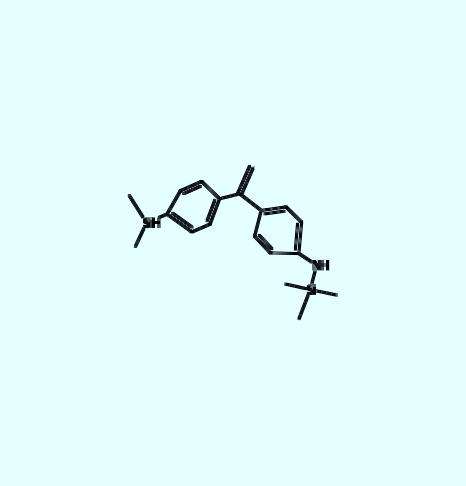 C=C(c1ccc(N[Si](C)(C)C)cc1)c1ccc([SiH](C)C)cc1